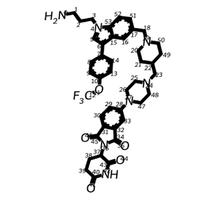 NCCCn1cc(-c2ccc(OC(F)(F)F)cc2)c2cc(CN3CCC(CN4CCN(c5ccc6c(c5)C(=O)N(C5CCC(=O)NC5=O)C6=O)CC4)CC3)ccc21